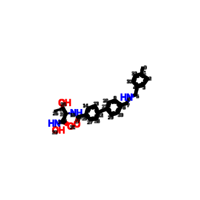 Cc1ccc(CNCc2ccc(-c3ccc(C(=O)N[C@H](C(=O)NO)[C@@H](C)O)cc3)cc2)cc1